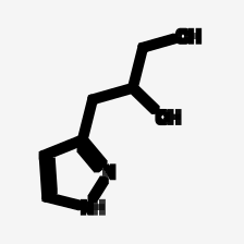 OCC(O)Cc1cc[nH]n1